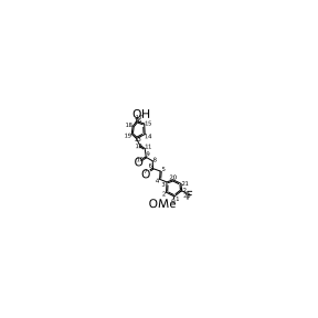 COc1cc(C=CC(=O)CC(=O)C=Cc2ccc(O)cc2)ccc1F